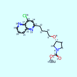 CC(C)(C)OC(=O)N1CC[C@@H](OCCCCc2cc(Cl)c3ncccc3n2)C1